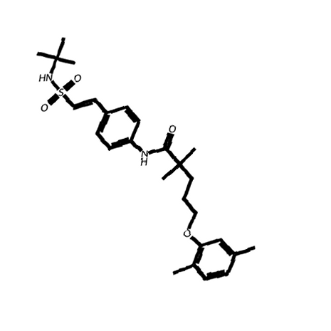 Cc1ccc(C)c(OCCCC(C)(C)C(=O)Nc2ccc(/C=C/S(=O)(=O)NC(C)(C)C)cc2)c1